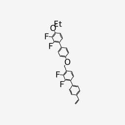 C=Cc1ccc(-c2ccc(COc3ccc(-c4ccc(OCC)c(F)c4F)cc3)c(F)c2F)cc1